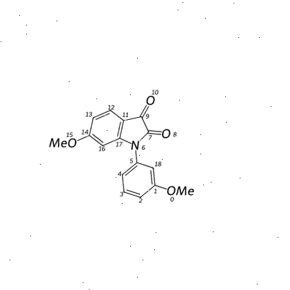 COc1cccc(N2C(=O)C(=O)c3ccc(OC)cc32)c1